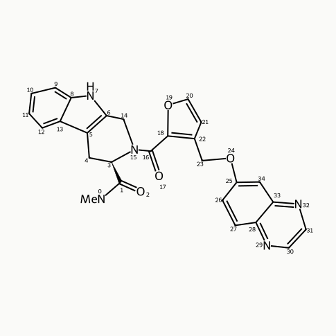 CNC(=O)[C@H]1Cc2c([nH]c3ccccc23)CN1C(=O)c1occc1COc1ccc2nccnc2c1